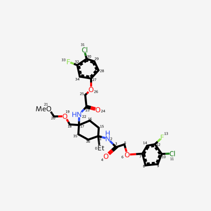 CCC1(NC(=O)COc2ccc(Cl)c(F)c2)CCC(COCOC)(NC(=O)COc2ccc(Cl)c(F)c2)CC1